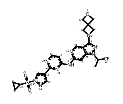 CC(n1nc(N2CC3(COC3)C2)c2cnc(Nc3ccnc(-c4cnn(S(=O)(=O)C5CC5)c4)n3)cc21)C(F)(F)F